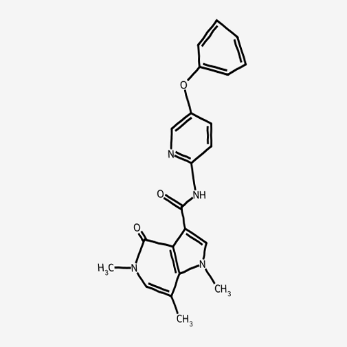 Cc1cn(C)c(=O)c2c(C(=O)Nc3ccc(Oc4ccccc4)cn3)cn(C)c12